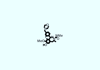 CNC(=O)N1N=C(c2ccc(CN3CCOCC3)cc2)c2c(cc(OI)c(OC)c2F)CC1C